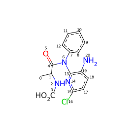 CC(NC(=O)O)C(=O)N(c1ccccc1)c1nc(Cl)ccc1N